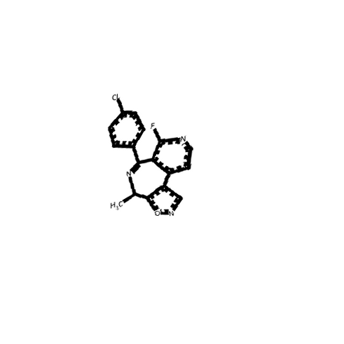 CC1N=C(c2ccc(Cl)cc2)c2c(ccnc2F)-c2cnoc21